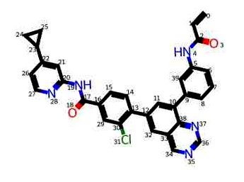 C=CC(=O)Nc1cccc(-c2cc(-c3ccc(C(=O)Nc4cc(C5CC5)ccn4)cc3Cl)cc3cncnc23)c1